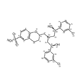 O=S(=O)(O)c1ccc2c(c1)CCC(CN(C[C@@H](O)c1cccc(Cl)c1)C[C@@H](O)c1cccc(Cl)c1)O2